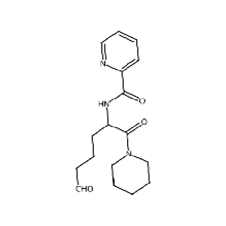 O=CCCCC(NC(=O)c1ccccn1)C(=O)N1CCCCC1